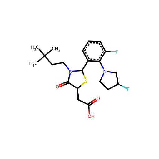 CC(C)(C)CCN1C(=O)[C@H](CC(=O)O)SC1c1cccc(F)c1N1CC[C@H](F)C1